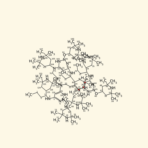 CCCC(NC1=NN(OC2CC(C)(C)NC(C)(C)C2)NC(N(CCCN(C2=CC(NC(CCC)C3CC(C)(C)NC(C)(C)C3)=NN(OC3CC(C)(C)NC(C)(C)C3)N2)C2CC(C)(C)NC(C)(C)C2)CCCN(C2=CC(NC(CCC)C3CC(C)(C)NC(C)(C)C3)=NN(OC3CC(C)(C)NC(C)(C)C3)N2)C2CC(C)(C)NC(C)(C)C2)=C1)C1CC(C)(C)NC(C)(C)C1